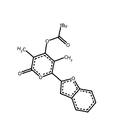 Cc1c(-c2cc3ccccc3o2)oc(=O)c(C)c1OC(=O)C(C)(C)C